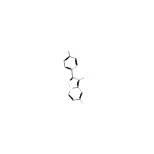 COc1ccc(-c2nn3ccc(Br)cc3c2C#N)cc1